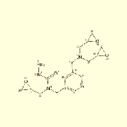 CCCCNC(=O)N(Cc1cccc(CN(CC2CO2)CC2CO2)c1)CC1CO1